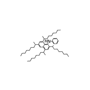 CCCCCCCC(C)c1cc(C(C)CCCCCCC)c2c(Nc3ccccc3)c(C(C)CCCCCCC)cc(C(C)CCCCCCC)c2c1